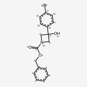 O=C(OCc1ccccc1)N1CC(O)(c2ccc(Br)cc2)C1